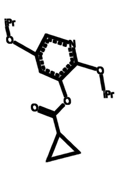 CC(C)Oc1cnc(OC(C)C)c(OC(=O)C2CC2)c1